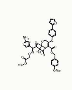 COc1ccc(COC(=O)C2=C(Sc3ccc(-c4ccco4)cc3)CS[C@@H]3N2C(=O)C3(N)C(=O)C(=NOCC(=O)OC(C)(C)C)c2csc(N)n2)cc1